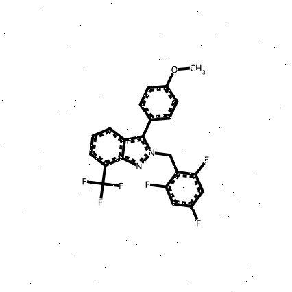 COc1ccc(-c2c3cccc(C(F)(F)F)c3nn2Cc2c(F)cc(F)cc2F)cc1